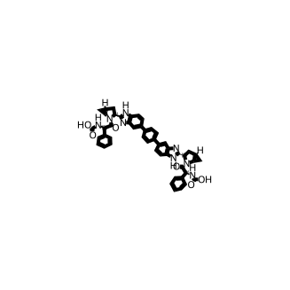 O=C(O)N[C@@H](C(=O)N1C2C[C@@H]2C[C@H]1c1nc2cc(-c3ccc(-c4ccc5[nH]c([C@@H]6C[C@H]7CC7N6C(=O)[C@H](NC(=O)O)c6ccccc6)nc5c4)cc3)ccc2[nH]1)c1ccccc1